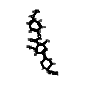 CCCCCC1CCC(c2cc(F)c(C(=O)Oc3ccc(OCC)cc3)c(F)c2)CC1